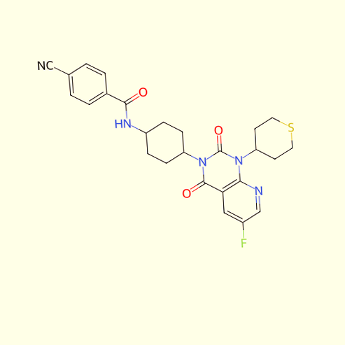 N#Cc1ccc(C(=O)NC2CCC(n3c(=O)c4cc(F)cnc4n(C4CCSCC4)c3=O)CC2)cc1